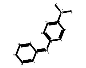 CN(C)c1ccc(N=C2C=C[CH]C=C2)cc1